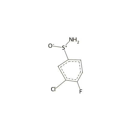 N[S+]([O-])c1ccc(F)c(Cl)c1